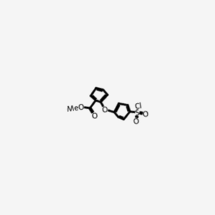 COC(=O)c1ccccc1Oc1ccc(S(=O)(=O)Cl)cc1